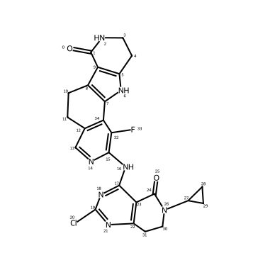 O=C1NCCc2[nH]c3c(c21)CCc1cnc(Nc2nc(Cl)nc4c2C(=O)N(C2CC2)CC4)c(F)c1-3